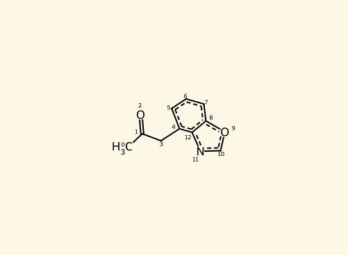 CC(=O)Cc1cccc2ocnc12